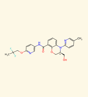 Cc1ccc(N2c3cccc(C(=O)Nc4ccc(OCC(C)(F)F)nc4)c3OC[C@@H]2CO)nc1